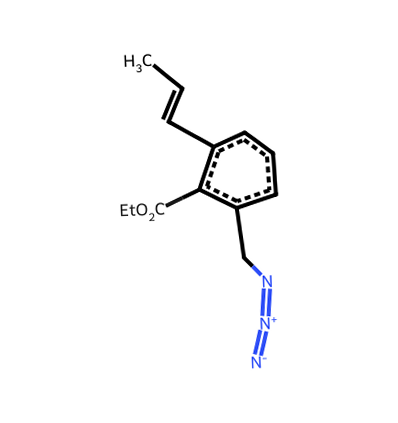 C/C=C/c1cccc(CN=[N+]=[N-])c1C(=O)OCC